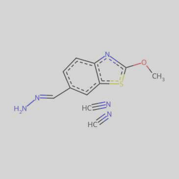 C#N.C#N.COc1nc2ccc(C=NN)cc2s1